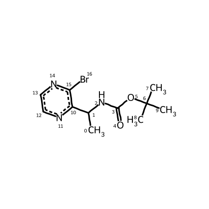 CC(NC(=O)OC(C)(C)C)c1nccnc1Br